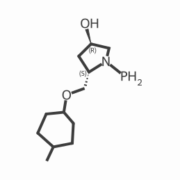 CC1CCC(OC[C@@H]2C[C@@H](O)CN2P)CC1